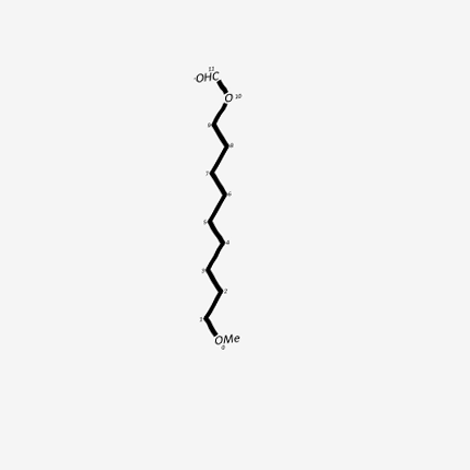 [CH2]OCCCCCCCCCO[C]=O